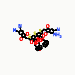 N#Cc1cc2c(cc1N)C(=O)/C(=C\c1cc3c(s1)-c1sc4c(c1C3(C(=O)OCc1ccccc1)C(=O)OCc1ccccc1)C(C(=O)OCc1ccccc1)(C(=O)OCc1ccccc1)c1cc(C=C3C(=O)c5cc(C#N)c(C#N)cc5C3=O)sc1-4)C2=O